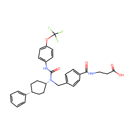 O=C(O)CCNC(=O)c1ccc(CN(C(=O)Nc2ccc(OC(F)(F)F)cc2)[C@H]2CC[C@@H](c3ccccc3)CC2)cc1